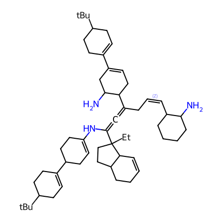 CCC1(C(=C=C(C/C=C\C2CCCCC2N)C2CC=C(C3=CCC(C(C)(C)C)CC3)CC2N)NC2=CCC(C3=CCC(C(C)(C)C)CC3)CC2)CCC2CCC=CC21